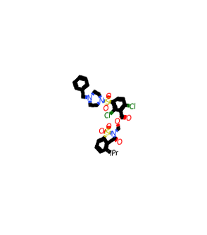 CC(C)c1cccc2c1C(=O)N(COC(=O)c1c(Cl)ccc(S(=O)(=O)N3CCN(Cc4ccccc4)CC3)c1Cl)S2(=O)=O